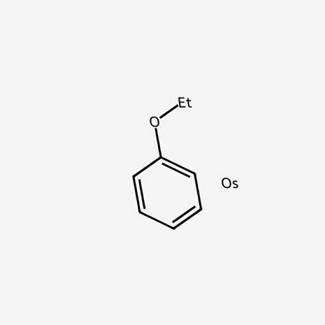 CCOc1ccccc1.[Os]